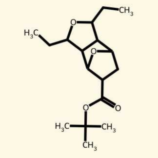 CCC1OC(CC)C2C3OC(CC3C(=O)OC(C)(C)C)C12